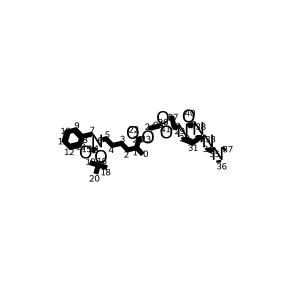 CC(CCCCN(Cc1ccccc1)C(=O)OC(C)(C)C)C(=O)OCC1OCC(n2ccc(N=CN(C)C)nc2=O)O1